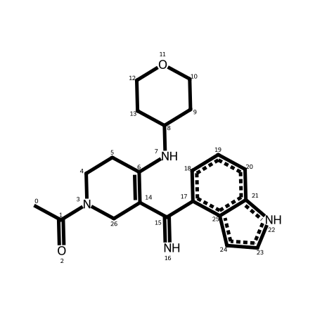 CC(=O)N1CCC(NC2CCOCC2)=C(C(=N)c2cccc3[nH]ccc23)C1